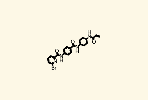 C=CC(=O)NC1CCC(NC(=O)c2ccc(NC(=O)c3cccc(Br)n3)cc2)CC1